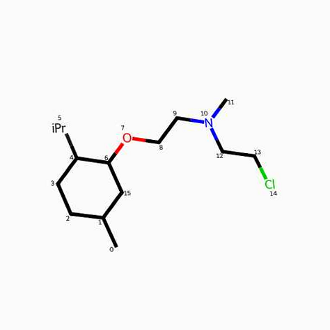 CC1CCC(C(C)C)C(OCCN(C)CCCl)C1